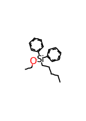 CCCCC[Si](OCC)(c1ccccc1)c1ccccc1